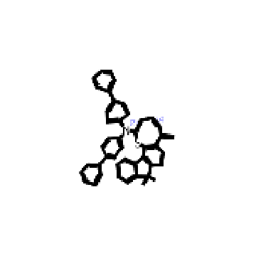 C=C1/C=C\C=C(\N(c2ccc(-c3ccccc3)cc2)c2ccc(-c3ccccc3)cc2)Sc2c1ccc1c2-c2ccccc2C1(C)C